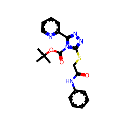 CC(C)(C)OC(=O)n1c(SCC(=O)Nc2ccccc2)nnc1-c1ccccn1